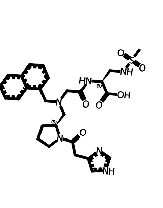 CS(=O)(=O)NC[C@H](NC(=O)CN(Cc1cccc2ccccc12)C[C@@H]1CCCN1C(=O)Cc1c[nH]cn1)C(=O)O